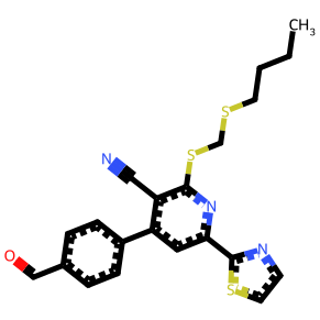 CCCCSCSc1nc(-c2nccs2)cc(-c2ccc(C=O)cc2)c1C#N